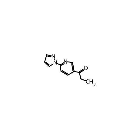 CCC(=O)c1ccc(-n2cccn2)nc1